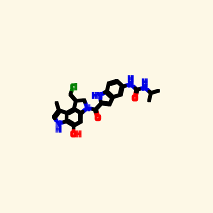 Cc1c[nH]c2c(O)cc3c(c12)C(CCl)CN3C(=O)c1cc2cc(NC(=O)NC(C)C)ccc2[nH]1